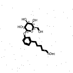 CCCCCCCCCCCCCCCc1cccc(O[C@@H]2O[C@H](CO)[C@@H](O)[C@H](O)[C@H]2O)c1